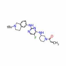 C=CC(=O)N1CCC[C@@H](Nc2nc(Nc3ccc4c(c3)CCN(C(C)(C)C)C4)ncc2F)C1